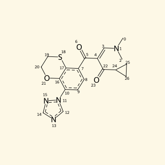 CN(C)C=C(C(=O)c1ccc(-n2cncn2)c2c1SCCO2)C(=O)C1CC1